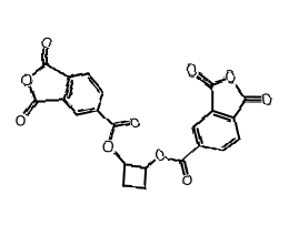 O=C(OC1CCC1OC(=O)c1ccc2c(c1)C(=O)OC2=O)c1ccc2c(c1)C(=O)OC2=O